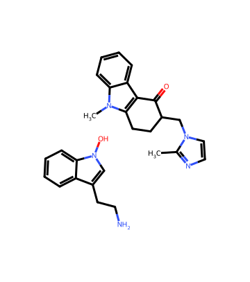 Cc1nccn1CC1CCc2c(c3ccccc3n2C)C1=O.NCCc1cn(O)c2ccccc12